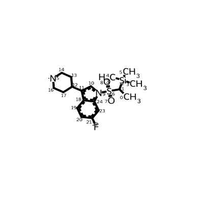 CC([Si](C)(C)C)S(=O)(=O)n1cc(C2CC[N]CC2)c2ccc(F)cc21